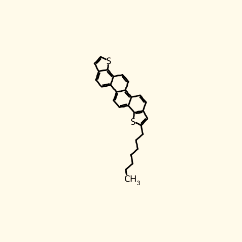 CCCCCCCc1cc2ccc3c4ccc5c(ccc6ccsc65)c4ccc3c2s1